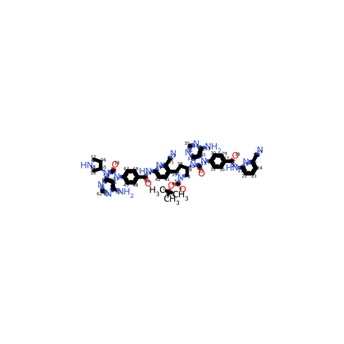 CC(C)(C)OC(=O)N1C[C@H](n2c(=O)n(-c3ccc(C(=O)Nc4cccc(C#N)n4)cc3)c3c(N)ncnc32)CC1c1ccc(NC(=O)c2ccc(-n3c(=O)n([C@@H]4CCNC4)c4ncnc(N)c43)cc2)nc1C#N